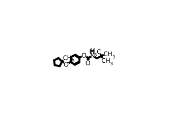 CC(C)(C)CNC(=O)Oc1ccc(OC2(C)CCCC2)cc1